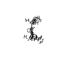 CC(C)(C)OC(=O)NCC#Cc1cnc(N2CCN(C(=O)OC(C)(C)C)CC2)c(Cl)c1